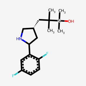 CC(C)(C[C@H]1CNC(c2cc(F)ccc2F)C1)[Si](C)(C)O